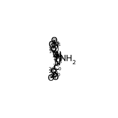 Cc1c(CCN(CCN)Cc2cn(-c3ccc4oc(=O)n(C)c4c3)nn2)ccc2c1COC2=O